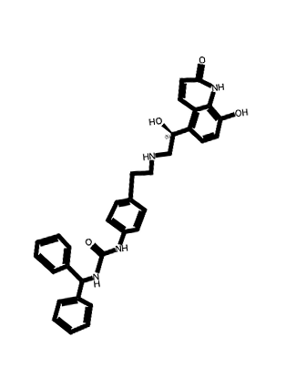 O=C(Nc1ccc(CCNC[C@@H](O)c2ccc(O)c3[nH]c(=O)ccc23)cc1)NC(c1ccccc1)c1ccccc1